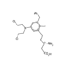 Cc1c(CC[C@H](N)CC(=O)O)cc(N(CCCl)CCCl)cc1CC(C)C